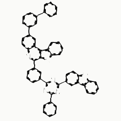 c1ccc(-c2cccc(-c3ccc4nc(-c5cccc(-c6nc(-c7ccccc7)nc(-c7ccc8oc9ccccc9c8c7)n6)c5)c5sc6ccccc6c5c4c3)c2)cc1